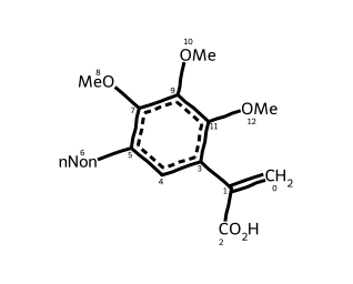 C=C(C(=O)O)c1cc(CCCCCCCCC)c(OC)c(OC)c1OC